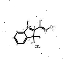 CC(=NO)C1=[N+](C)c2ccccc2C1(C)C.[Cl-]